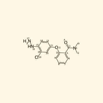 CN(C)C(=O)c1ccccc1Oc1ccc(NN)c(Cl)c1